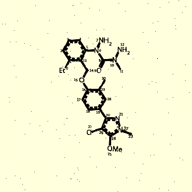 CCc1cccc(N(N)C(=O)N(C)N)c1COc1ccc(-c2nn(C)c(OC)c2Cl)cc1C